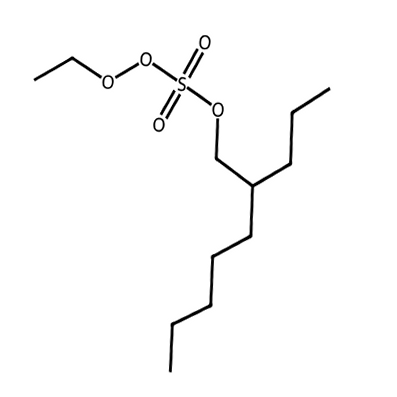 CCCCCC(CCC)COS(=O)(=O)OOCC